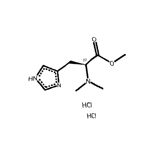 COC(=O)[C@H](Cc1c[nH]cn1)N(C)C.Cl.Cl